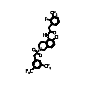 O=C(Cc1cccc(C(F)(F)F)c1F)Nc1c(Cl)ccc2c1CCN(S(=O)(=O)Cc1cc(C(F)(F)F)cc(C(F)(F)F)c1)C2